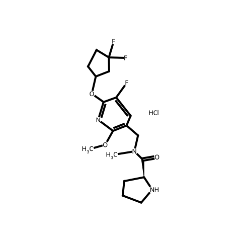 COc1nc(OC2CCC(F)(F)C2)c(F)cc1CN(C)C(=O)[C@@H]1CCCN1.Cl